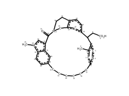 Cc1cc2ncc1C(CC(=O)O)c1ccc3c(c1)CN(CC3)C(=O)c1cn(C)c3ccc(cc13)CCCCCO2